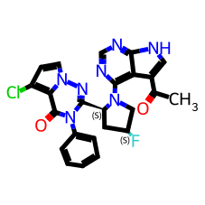 CC(=O)c1c[nH]c2ncnc(N3C[C@@H](F)C[C@H]3c3nn4ccc(Cl)c4c(=O)n3-c3ccccc3)c12